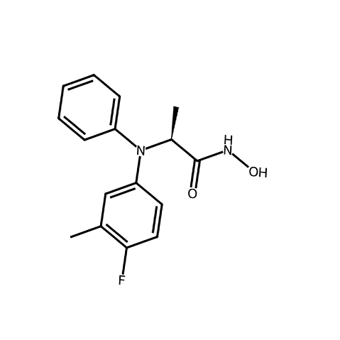 Cc1cc(N(c2ccccc2)[C@@H](C)C(=O)NO)ccc1F